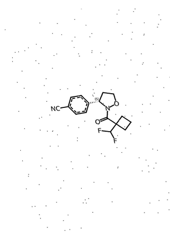 N#Cc1ccc([C@@H]2CCON2C(=O)C2(C(F)F)CCC2)cc1